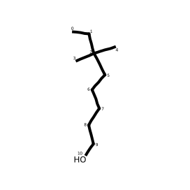 CCC(C)(C)CCCCCO